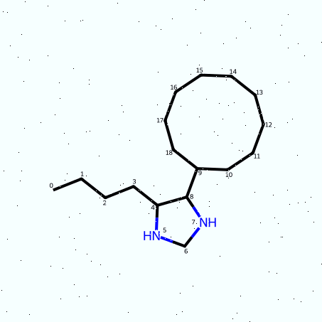 CCCCC1NCNC1C1CCCCCCCCC1